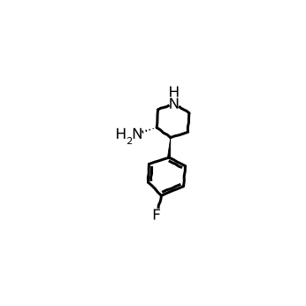 N[C@@H]1CNCC[C@H]1c1ccc(F)cc1